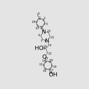 Cc1ccc(N2CCN(CC(O)COc3ccc(O)cc3)CC2)cc1